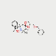 CCC1(C)CC2(OCC(COCc3ccccc3)O2)C(C)C(C)(CC)N1OC(C)c1ccccc1